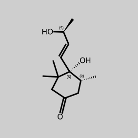 C[C@H](O)C=C[C@@]1(O)[C@H](C)CC(=O)CC1(C)C